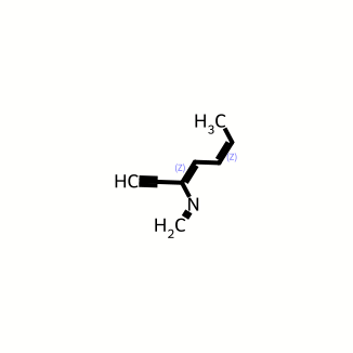 C#C/C(=C/C=C\C)N=C